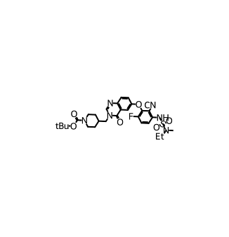 CCN(C)S(=O)(=O)Nc1ccc(F)c(Oc2ccc3ncn(CC4CCN(C(=O)OC(C)(C)C)CC4)c(=O)c3c2)c1C#N